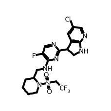 O=S(=O)(CC(F)(F)F)N1CCCCC1CNc1nc(C2CNc3ncc(Cl)cc32)ncc1F